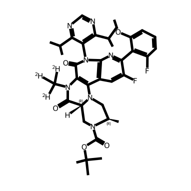 [2H]C([2H])([2H])N1C(=O)[C@H]2CN(C(=O)OC(C)(C)C)[C@H](C)CN2c2c1c(=O)n(-c1c(C(C)C)ncnc1C(C)C)c1nc(-c3c(F)cccc3OC)c(F)cc21